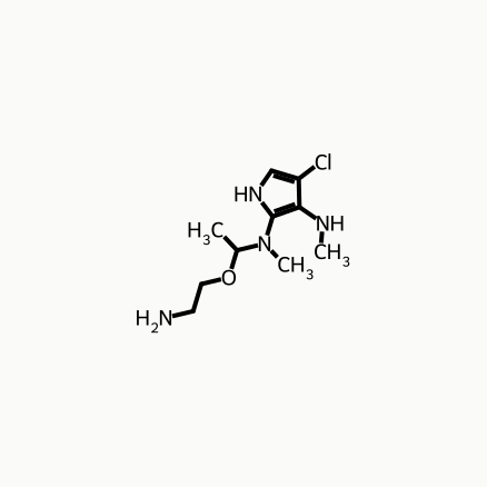 CNc1c(Cl)c[nH]c1N(C)C(C)OCCN